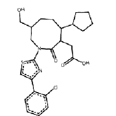 O=C(O)CC1C(=O)N(c2nc(-c3ccccc3Cl)cs2)CC(CO)CCC1C1CCCC1